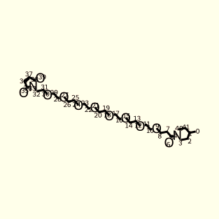 CC1CCN(C(=O)CCOCCOCCOCCOCCOCCOCCOCCOCCN2C(=O)C=CC2=O)CC1